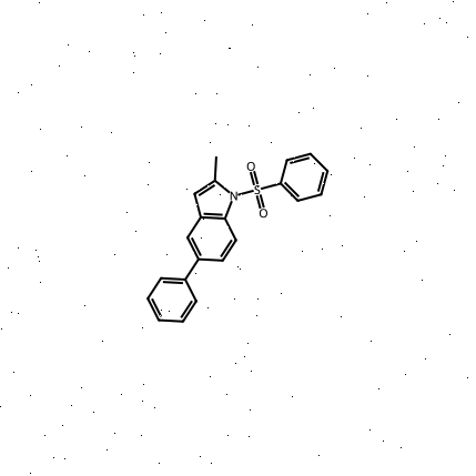 Cc1cc2cc(-c3ccccc3)ccc2n1S(=O)(=O)c1ccccc1